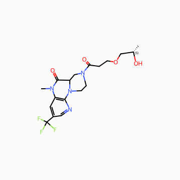 C[C@H](O)COCCC(=O)N1CCN2c3ncc(C(F)(F)F)cc3N(C)C(=O)C2C1